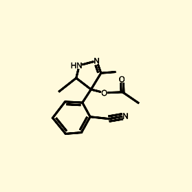 CC(=O)OC1(c2ccccc2C#N)C(C)=NNC1C